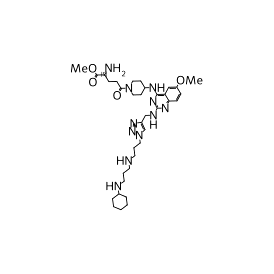 COC(=O)[C@@H](N)CCC(=O)N1CCC(Nc2nc(NCc3cn(CCCNCCCNC4CCCCC4)nn3)nc3ccc(OC)cc23)CC1